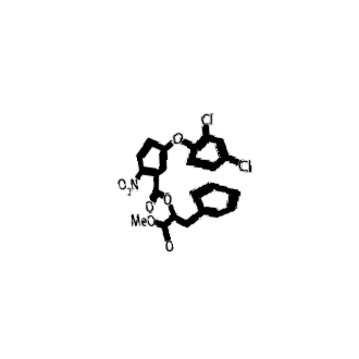 COC(=O)C(Cc1ccccc1)OC(=O)c1cc(Oc2ccc(Cl)cc2Cl)ccc1[N+](=O)[O-]